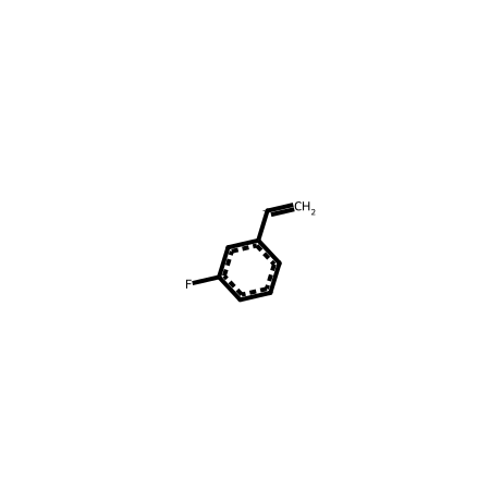 C=[C]c1cccc(F)c1